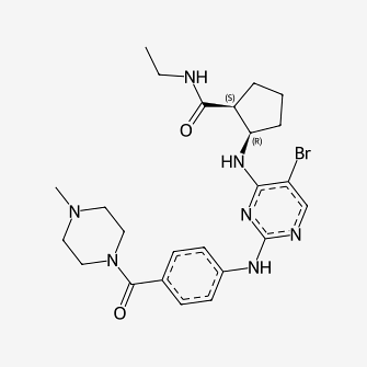 CCNC(=O)[C@H]1CCC[C@H]1Nc1nc(Nc2ccc(C(=O)N3CCN(C)CC3)cc2)ncc1Br